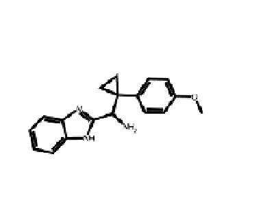 COc1ccc(C2(C(N)c3nc4ccccc4[nH]3)CC2)cc1